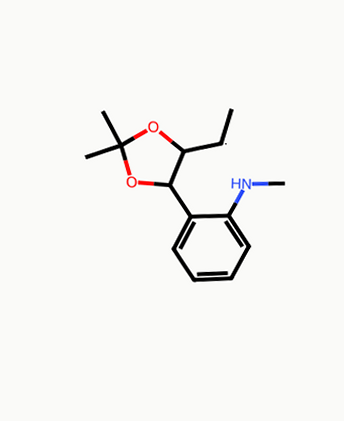 C[CH]C1OC(C)(C)OC1c1ccccc1NC